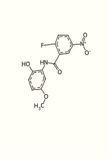 COc1ccc(O)c(NC(=O)c2cc([N+](=O)[O-])ccc2F)c1